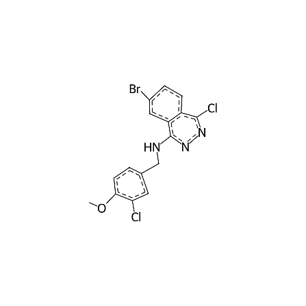 COc1ccc(CNc2nnc(Cl)c3ccc(Br)cc23)cc1Cl